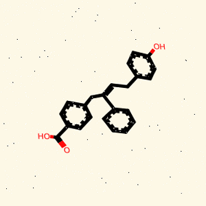 O=C(O)c1ccc(CC(=CCc2ccc(O)cc2)c2ccccc2)cc1